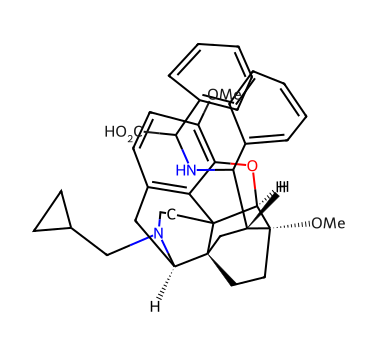 COc1ccc2c3c1O[C@@H]1C34CCN(CC3CC3)[C@H](C2)[C@]42CC[C@@]1(OC)[C@@H](C(NC(C(=O)O)c1ccccc1)c1ccccc1)C2